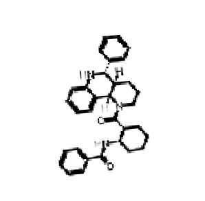 O=C(N[C@@H]1CCCC[C@@H]1C(=O)N1CCC[C@H]2[C@@H](c3ccccc3)Nc3ccccc3[C@H]21)c1ccccc1